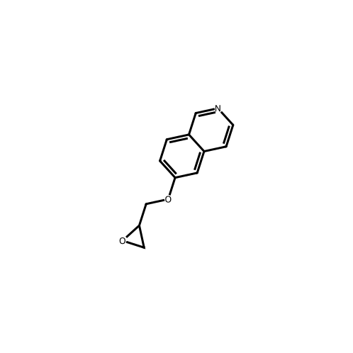 c1cc2cc(OCC3CO3)ccc2cn1